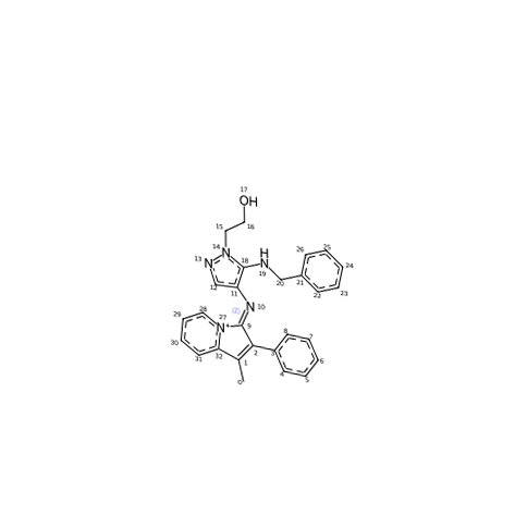 CC1=C(c2ccccc2)/C(=N/c2cnn(CCO)c2NCc2ccccc2)[n+]2ccccc21